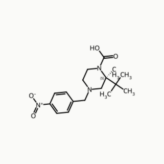 CC(C)(C)[C@@]1(C)CN(Cc2ccc([N+](=O)[O-])cc2)CCN1C(=O)O